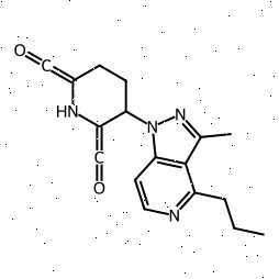 CCCc1nccc2c1c(C)nn2C1CCC(=C=O)NC1=C=O